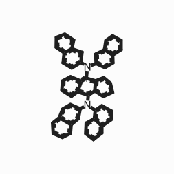 c1ccc2cc(N(c3ccc4ccccc4c3)c3c4ccccc4c(N(c4ccc5ccccc5c4)c4cccc5ccccc45)c4ccccc34)ccc2c1